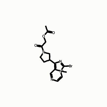 CC(=O)OCC(=O)N1CCC(C2=C3C=NC=C[N+]3(C)C(Br)=N2)C1